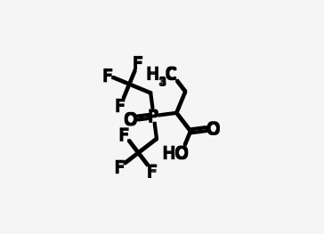 CCC(C(=O)O)P(=O)(CC(F)(F)F)CC(F)(F)F